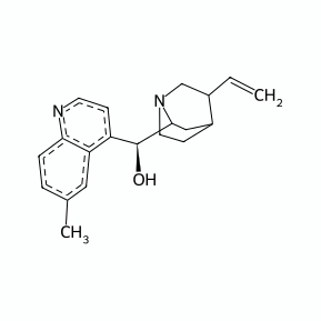 C=CC1CN2CCC1CC2[C@@H](O)c1ccnc2ccc(C)cc12